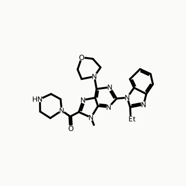 CCc1nc2ccccc2n1-c1nc(N2CCOCC2)c2nc(C(=O)N3CCNCC3)n(C)c2n1